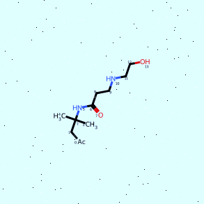 CC(=O)CC(C)(C)NC(=O)CCNCCO